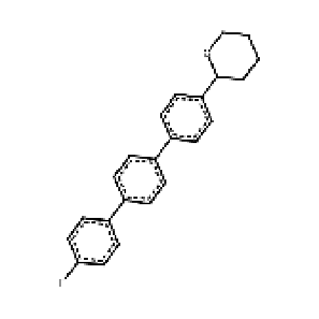 Fc1ccc(-c2ccc(-c3ccc(C4CCCCO4)cc3)cc2)cc1